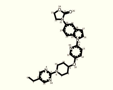 CCc1cnc(N2CCC(Oc3ccc(-n4ccc5cc(N6CCOC6=O)ccc54)nc3)CC2)nc1